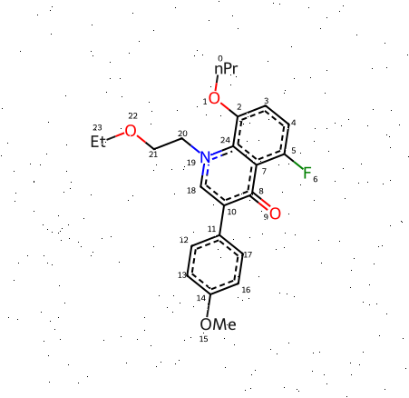 CCCOc1ccc(F)c2c(=O)c(-c3ccc(OC)cc3)cn(CCOCC)c12